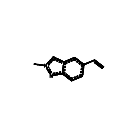 C=Cc1ccc2nn(C)cc2c1